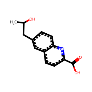 CC(O)Cc1ccc2nc(C(=O)O)ccc2c1